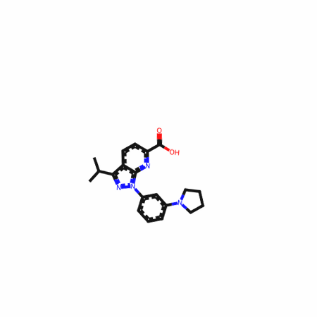 CC(C)c1nn(-c2cccc(N3CCCC3)c2)c2nc(C(=O)O)ccc12